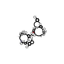 CO[C@@]1(C)/C=C/C[C@H](C)[C@@H](C)S(=O)(=O)NC(=O)c2cc(C3CO[C@]4(CCC[C@H](C)[C@@H](C)S(=O)(=O)NC(=O)c5ccc6c(c5)N(CCCCc5cc(Cl)ccc5CO6)C[C@@H]5CC[C@H]54)CO3)c3c(c2)N(C[C@@H]2CC[C@H]21)C[C@@]1(CCCc2cc(Cl)ccc21)CO3